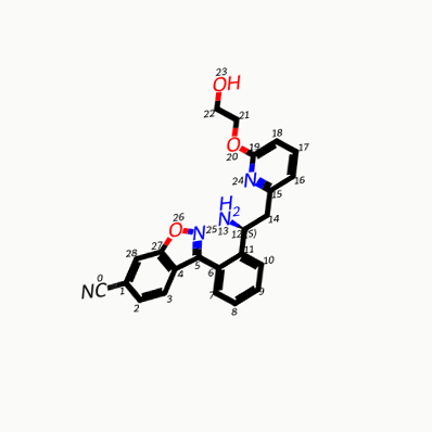 N#Cc1ccc2c(-c3ccccc3[C@@H](N)Cc3cccc(OCCO)n3)noc2c1